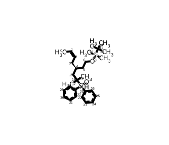 C/C=C\C[C@@H](CCO[Si](C)(C)C(C)(C)C)CC(C)(C)[Si](O)(c1ccccc1)c1ccccc1